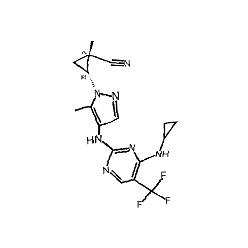 Cc1c(Nc2ncc(C(F)(F)F)c(NC3CC3)n2)cnn1[C@@H]1C[C@]1(C)C#N